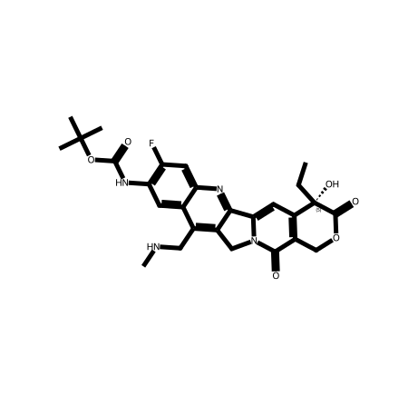 CC[C@@]1(O)C(=O)OCc2c1cc1n(c2=O)Cc2c-1nc1cc(F)c(NC(=O)OC(C)(C)C)cc1c2CNC